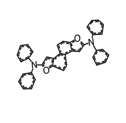 c1ccc(N(c2ccccc2)c2cc3c(ccc4c5cc(N(c6ccccc6)c6ccccc6)oc5ccc34)o2)cc1